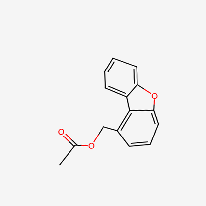 CC(=O)OCc1cccc2oc3ccccc3c12